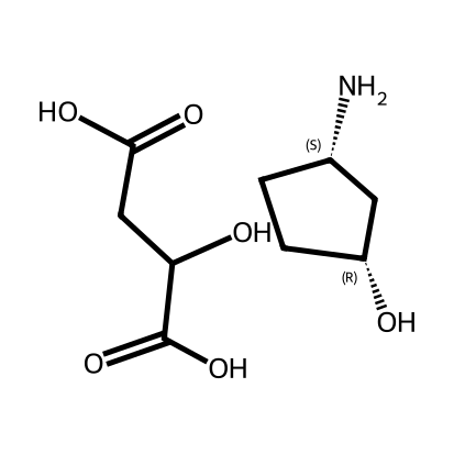 N[C@H]1CC[C@@H](O)C1.O=C(O)CC(O)C(=O)O